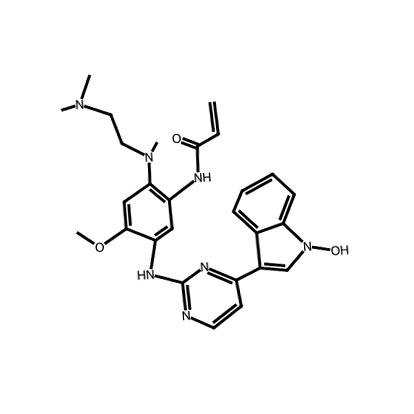 C=CC(=O)Nc1cc(Nc2nccc(-c3cn(O)c4ccccc34)n2)c(OC)cc1N(C)CCN(C)C